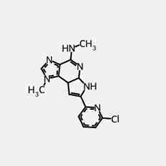 CNC1=NC2NC(c3cccc(Cl)n3)=CC2c2c1ncn2C